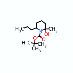 CCCC1CCCC(C)(O)N1C(=O)OC(C)(C)C